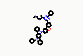 C=C(/C=C\C=C/C)c1nc(-c2ccccc2)nc(-c2ccc3oc4ccc(-n5c6ccccc6c6cc7c(cc65)c5ccccc5n7-c5ccccc5)cc4c3c2)n1